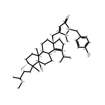 COC(C)CCC1(C)[C@H](C)CCC2(C)C3CC[C@]4(Cc5cc(=O)n(Cc6ccc(Cl)cc6)n5C)CCC(C(C)C)=C4C3CC[C@@H]21